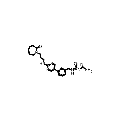 N=C(N)NC(=O)NCc1cccc(-c2cnc(NCCCN3CCCCCC3=O)nc2)c1